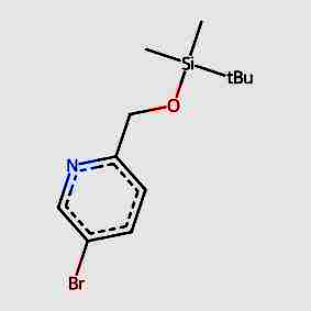 CC(C)(C)[Si](C)(C)OCc1ccc(Br)cn1